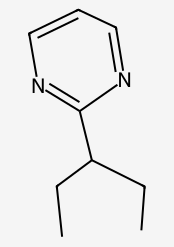 CCC(CC)c1ncccn1